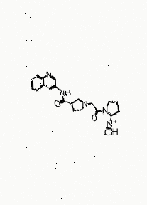 C#[N+][C@@H]1CCCN1C(=O)CN1CC[C@@H](C(=O)Nc2cnc3ccccc3c2)C1